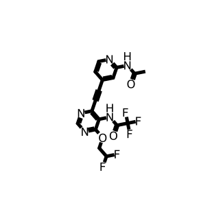 CC(=O)Nc1cc(C#Cc2ncnc(OCC(F)F)c2NC(=O)C(F)(F)F)ccn1